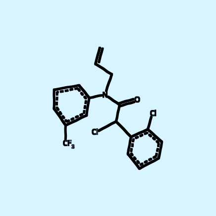 C=CCN(C(=O)C(Cl)c1ccccc1Cl)c1cccc(C(F)(F)F)c1